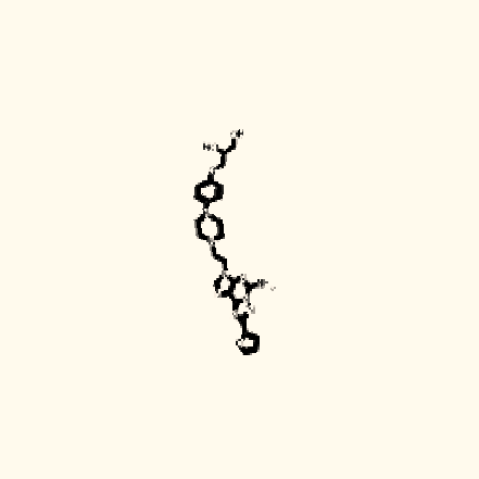 Nc1nc2c(ncn2CCN2CCN(c3ccc(OCC(O)CO)cc3)CC2)c2nc(-c3ccco3)nn12